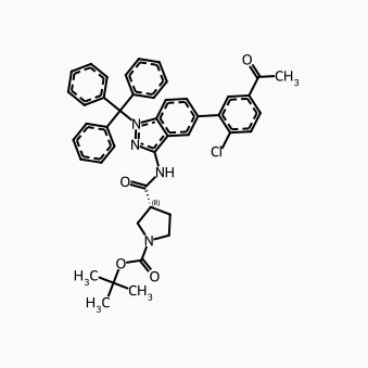 CC(=O)c1ccc(Cl)c(-c2ccc3c(c2)c(NC(=O)[C@@H]2CCN(C(=O)OC(C)(C)C)C2)nn3C(c2ccccc2)(c2ccccc2)c2ccccc2)c1